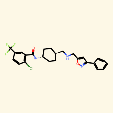 O=C(N[C@H]1CC[C@H](CNCc2cc(-c3ccccc3)no2)CC1)c1cc(C(F)(F)F)ccc1Cl